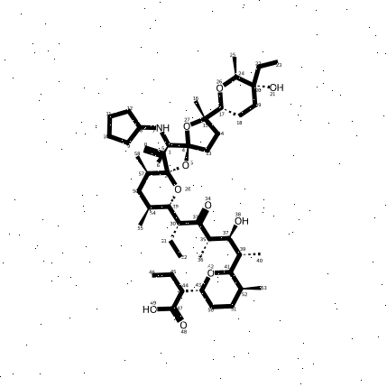 C=C[C@@]1(O[C@]2([C@@H](C)NC3CCCC3)CC[C@@](C)([C@H]3CC[C@](O)(CC)[C@H](C)O3)O2)O[C@H]([C@@H](CC)C(=O)[C@@H](C)[C@@H](O)[C@H](C)C2O[C@@H](C(CC)C(=O)O)CC[C@@H]2C)[C@@H](C)C[C@H]1C